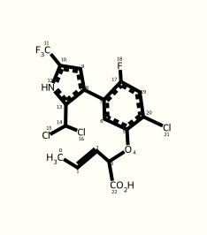 CC=CC(Oc1cc(-c2cc(C(F)(F)F)[nH]c2C(Cl)Cl)c(F)cc1Cl)C(=O)O